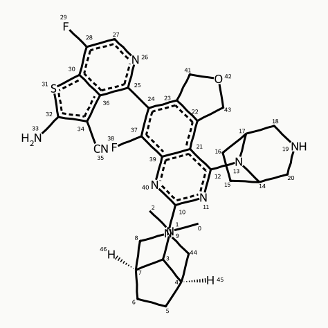 CN(C)C1[C@@H]2CC[C@H]1CN(c1nc(N3C4CCC3CNC4)c3c4c(c(-c5ncc(F)c6sc(N)c(C#N)c56)c(F)c3n1)COC4)C2